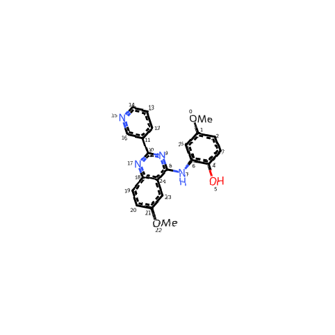 COc1ccc(O)c(Nc2nc(-c3cccnc3)nc3ccc(OC)cc23)c1